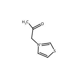 CC(=O)C[n+]1ccsc1